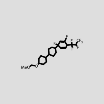 COCOC1CCC(C2CCC(C3(F)C=CC(C(F)(F)C(F)C(F)(F)F)C(F)=C3)CC2)CC1